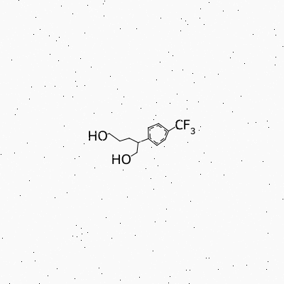 OCCCC(CO)c1ccc(C(F)(F)F)cc1